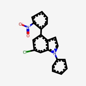 O=[N+]([O-])c1ccccc1-c1cc(Cl)cc2c1ccn2-c1ccccc1